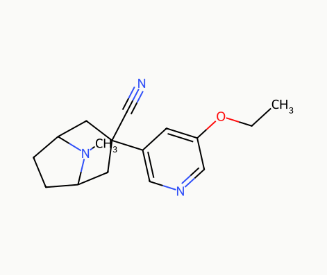 CCOc1cncc(C2(C#N)CC3CCC(C2)N3C)c1